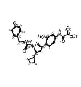 CCC(CC)C(=O)Nc1ccc(-c2cc(C3CCC3)n(C(=O)NCc3ccc(F)cc3)n2)c(O)c1